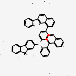 CC1(C)c2ccccc2-c2ccc(N(c3ccc(-c4cccc5ccc6c7ccccc7oc6c45)cc3)c3ccccc3-c3cccc4ccccc34)cc21